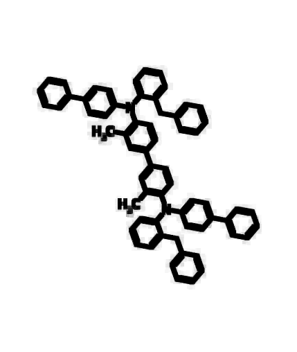 Cc1cc(-c2ccc(N(c3ccc(-c4ccccc4)cc3)c3ccccc3Cc3ccccc3)c(C)c2)ccc1N(c1ccc(-c2ccccc2)cc1)c1ccccc1Cc1ccccc1